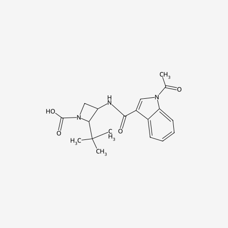 CC(=O)n1cc(C(=O)NC2CN(C(=O)O)C2C(C)(C)C)c2ccccc21